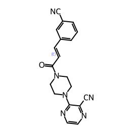 N#Cc1cccc(/C=C/C(=O)N2CCN(c3nccnc3C#N)CC2)c1